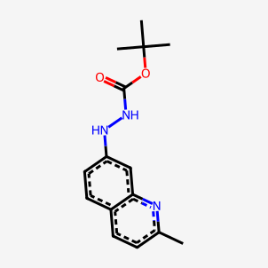 Cc1ccc2ccc(NNC(=O)OC(C)(C)C)cc2n1